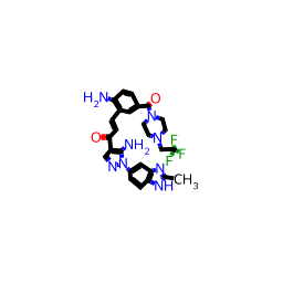 Cc1nc2cc(-n3ncc(C(=O)/C=C/c4cc(C(=O)N5CCN(CC(F)(F)F)CC5)ccc4N)c3N)ccc2[nH]1